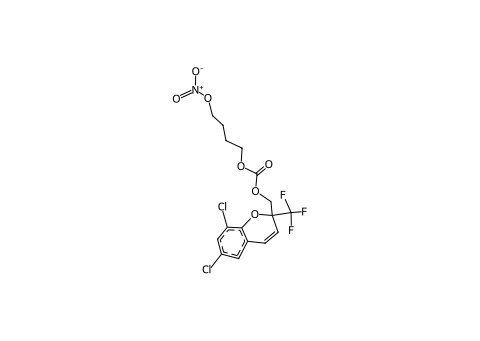 O=C(OCCCCO[N+](=O)[O-])OCC1(C(F)(F)F)C=Cc2cc(Cl)cc(Cl)c2O1